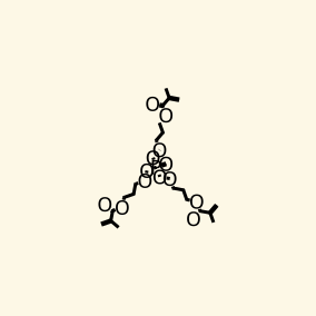 C=C(C)C(=O)OCCCOOP(=O)(OOCCCOC(=O)C(=C)C)OOCCCOC(=O)C(=C)C